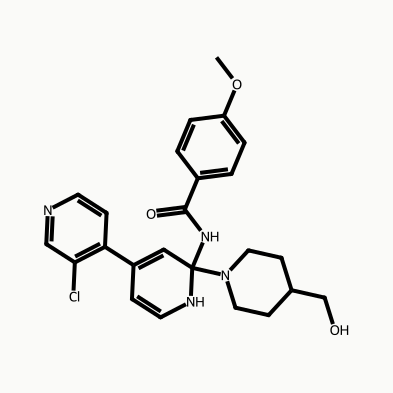 COc1ccc(C(=O)NC2(N3CCC(CO)CC3)C=C(c3ccncc3Cl)C=CN2)cc1